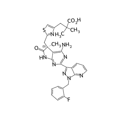 CC(C)(Cc1csc(C[C@]2(C)C(=O)Nc3nc(-c4nn(Cc5ccccc5F)c5ncccc45)nc(N)c32)n1)C(=O)O